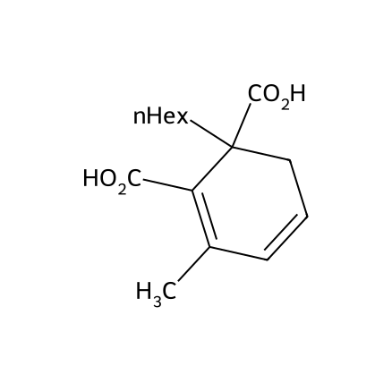 CCCCCCC1(C(=O)O)CC=CC(C)=C1C(=O)O